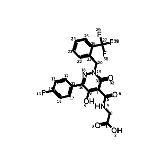 O=C(O)CNC(=O)c1c(O)c(-c2ccc(F)cc2)nn(Cc2ccccc2C(F)(F)F)c1=O